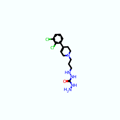 NNC(=O)NNCCCN1CC=C(c2cccc(Cl)c2Cl)CC1